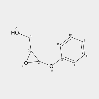 OCC1OC1Oc1ccccc1